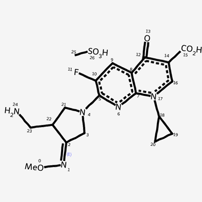 CO/N=C1/CN(c2nc3c(cc2F)c(=O)c(C(=O)O)cn3C2CC2)CC1CN.CS(=O)(=O)O